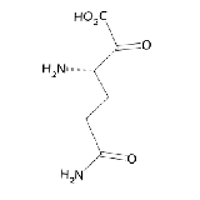 NC(=O)CC[C@H](N)C(=O)C(=O)O